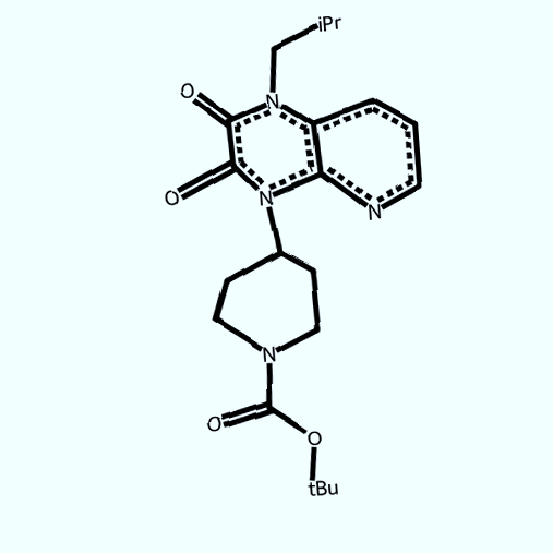 CC(C)Cn1c(=O)c(=O)n(C2CCN(C(=O)OC(C)(C)C)CC2)c2ncccc21